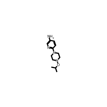 CC(C)ON1CCN(c2ccc(N)cn2)CC1